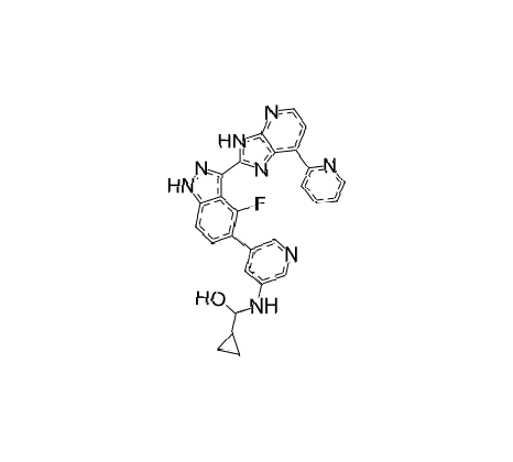 OC(Nc1cncc(-c2ccc3[nH]nc(-c4nc5c(-c6ccccn6)ccnc5[nH]4)c3c2F)c1)C1CC1